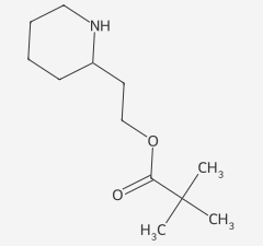 CC(C)(C)C(=O)OCCC1CCCCN1